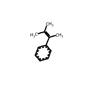 CC(C)=C(C)c1ccccc1